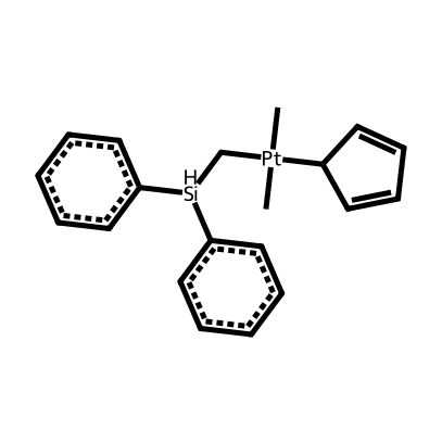 [CH3][Pt]([CH3])([CH2][SiH](c1ccccc1)c1ccccc1)[CH]1C=CC=C1